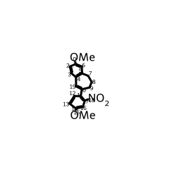 COc1ccc2c(c1)CCCC(c1ccc(OC)cc1[N+](=O)[O-])=C2